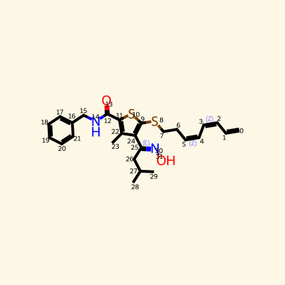 C=C/C=C\C=C/CCSc1sc(C(=O)NCc2ccccc2)c(C)c1/C(CC(C)C)=N/O